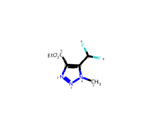 CCOC(=O)c1nnn(C)c1C(F)F